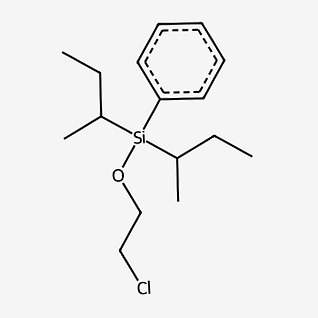 CCC(C)[Si](OCCCl)(c1ccccc1)C(C)CC